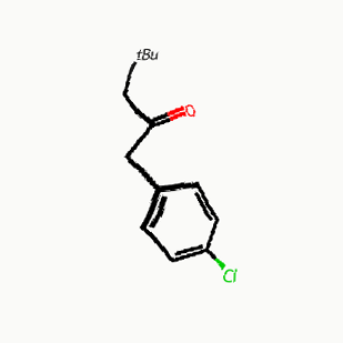 CC(C)(C)CC(=O)Cc1ccc(Cl)cc1